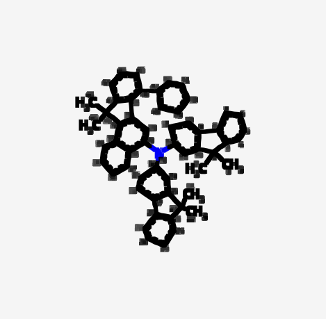 CC1(C)c2ccccc2-c2ccc(N(c3ccc4c(c3)C(C)(C)c3ccccc3-4)c3cc4c(c5ccccc35)C(C)(C)c3cccc(-c5ccccc5)c3-4)cc21